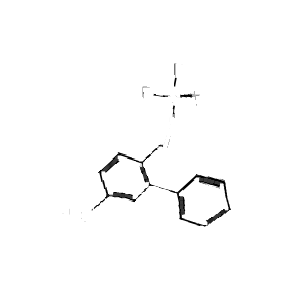 Cc1ccc([IH+])c(-c2ccccc2)c1.F[B-](F)(F)F